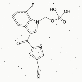 N#Cc1csc(C(=O)c2cn(COP(=O)(O)O)c3c(F)cccc23)n1